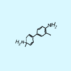 Cc1cc(C2=CCC(C)(N)C=C2)ccc1N